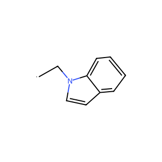 [CH2]Cn1ccc2ccccc21